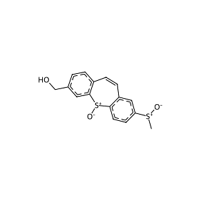 C[S+]([O-])c1ccc2c(c1)C=Cc1ccc(CO)cc1[S+]2[O-]